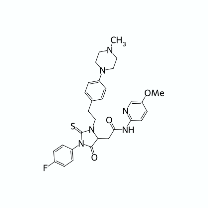 COc1ccc(NC(=O)CC2C(=O)N(c3ccc(F)cc3)C(=S)N2CCc2ccc(N3CCN(C)CC3)cc2)nc1